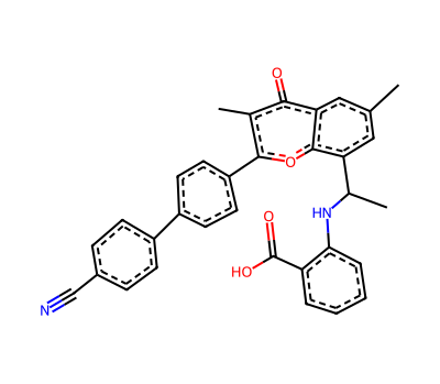 Cc1cc(C(C)Nc2ccccc2C(=O)O)c2oc(-c3ccc(-c4ccc(C#N)cc4)cc3)c(C)c(=O)c2c1